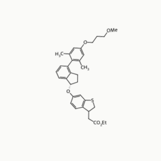 CCOC(=O)CC1CSc2cc(O[C@H]3CCc4c(-c5c(C)cc(OCCCOC)cc5C)cccc43)ccc21